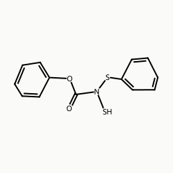 O=C(Oc1ccccc1)N(S)Sc1ccccc1